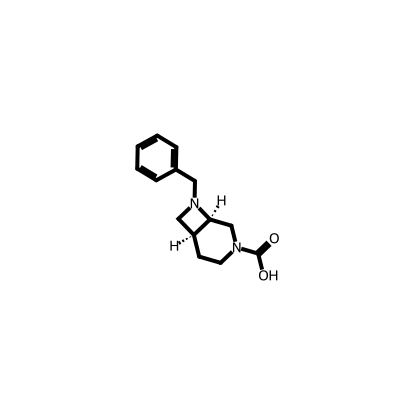 O=C(O)N1CC[C@H]2CN(Cc3ccccc3)[C@H]2C1